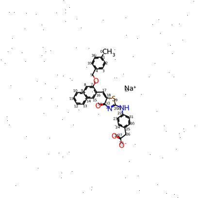 Cc1ccc(COc2cc3ccccc3cc2C=C2SC(Nc3ccc(CC(=O)[O-])cc3)=NC2=O)cc1.[Na+]